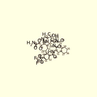 CC(C)(O)c1cnnn1[C@]1([C@H]2CCCO[C@H](C(=O)C(N)=O)C2)C[C@@H](NC=O)N(C(=O)[C@@H](CC2CCCCC2)NC(=O)c2ccc(S(=O)(=O)C(F)F)cc2)C1